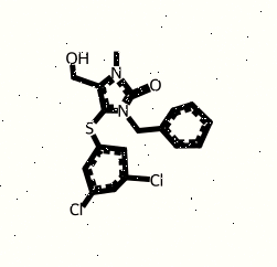 Cn1c(CO)c(Sc2cc(Cl)cc(Cl)c2)n(Cc2ccccc2)c1=O